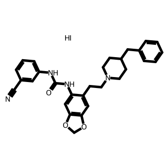 I.N#Cc1cccc(NC(=O)Nc2cc3c(cc2CCN2CCC(Cc4ccccc4)CC2)OCO3)c1